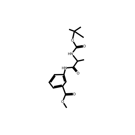 COC(=O)c1cccc(NC(=O)C(C)NC(=O)OC(C)(C)C)c1